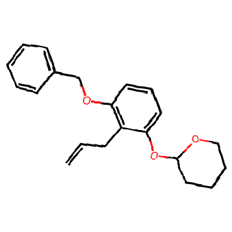 C=CCc1c(OCc2ccccc2)cccc1OC1CCCCO1